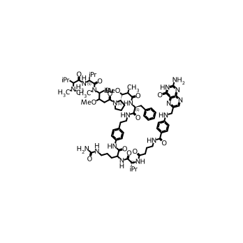 CCC(C)C(C(CC(=O)N1CCC[C@H]1C(OC)C(C)C(=O)N[C@@H](Cc1ccccc1)C(=O)NCCc1ccc(NC(=O)C(CCCNC(N)=O)NC(=O)[C@H](NC(=O)CCCNC(=O)c2ccc(NCc3cnc4nc(N)[nH]c(=O)c4n3)cc2)C(C)C)cc1)OC)N(C)C(=O)[C@@H](NC(=O)C(C(C)C)N(C)C)C(C)C